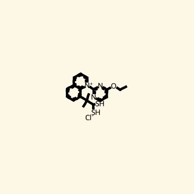 CCOc1ccnc(-[n+]2cccc3cccc(C(C)(C)C(S)S)c32)n1.[Cl-]